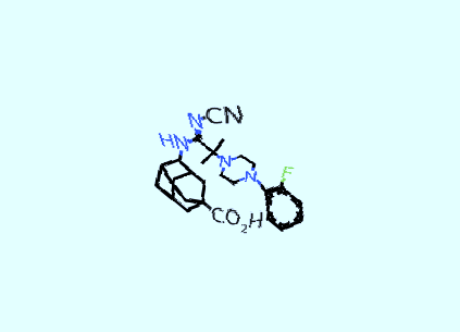 CC(C)(/C(=N\C#N)NC1C2CC3CC1CC(C(=O)O)(C3)C2)N1CCN(c2ccccc2F)CC1